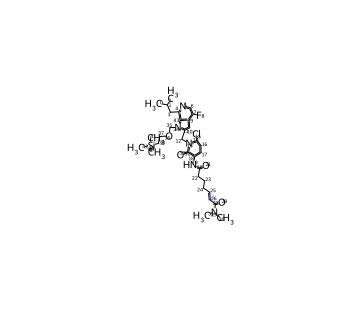 CC(C)Cc1ncc(F)c2cc(Cn3c(Cl)ccc(NC(=O)CCC/C=C/C(=O)N(C)C)c3=O)n(COCC[Si](C)(C)C)c12